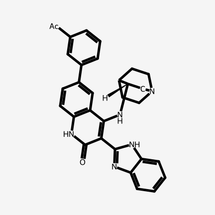 CC(=O)c1cccc(-c2ccc3[nH]c(=O)c(-c4nc5ccccc5[nH]4)c(N[C@H]4CN5CCC4CC5)c3c2)c1